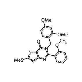 COc1ccc(Cn2c(-c3ccccc3OC(F)(F)F)nc3sc(SC)nc3c2=O)c(OC)c1